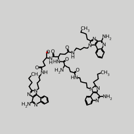 CCCCc1nc2c(N)nc3ccccc3c2n1CCCCNC(=O)CCC(C=O)NC(=O)C(CCC(=O)NCCCCn1c(CCCC)nc2c(N)nc3ccccc3c21)NC(=O)C(N)CCC(=O)NCCCCn1c(CCCC)nc2c(N)nc3ccccc3c21